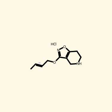 C/C=C/COc1noc2c1CNCC2.Cl